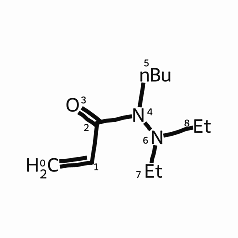 C=CC(=O)N(CCCC)N(CC)CC